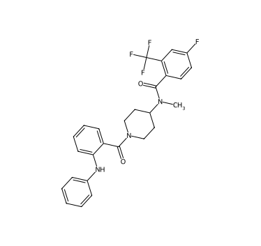 CN(C(=O)c1ccc(F)cc1C(F)(F)F)C1CCN(C(=O)c2ccccc2Nc2ccccc2)CC1